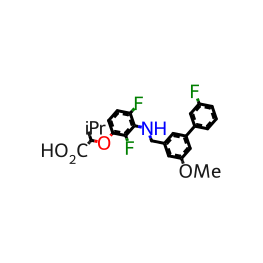 COc1cc(CNc2c(F)ccc(OC(C(=O)O)C(C)C)c2F)cc(-c2cccc(F)c2)c1